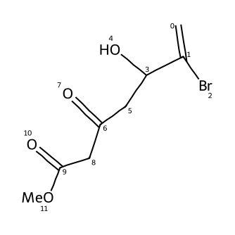 C=C(Br)C(O)CC(=O)CC(=O)OC